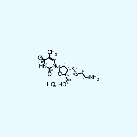 Cc1cn([C@H]2C[C@H](SSCCN)[C@@H](CO)O2)c(=O)[nH]c1=O.Cl